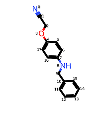 N#CCOc1ccc(NCc2ccccc2)cc1